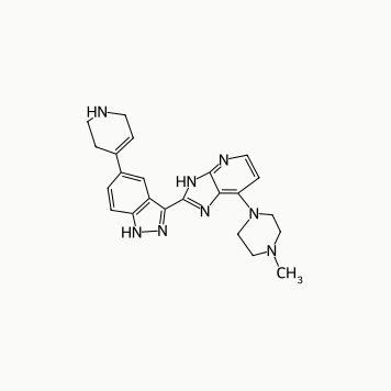 CN1CCN(c2ccnc3[nH]c(-c4n[nH]c5ccc(C6=CCNCC6)cc45)nc23)CC1